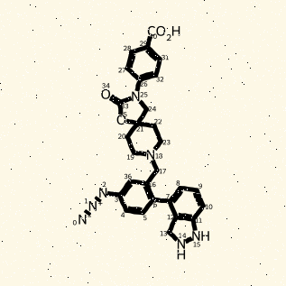 [N-]=[N+]=Nc1ccc(-c2cccc3c2CNN3)c(CN2CCC3(CC2)CN(c2ccc(C(=O)O)cc2)C(=O)O3)c1